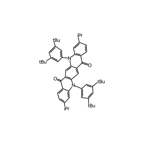 CC(C)c1ccc2c(=O)c3cc4c(cc3n(-c3cc(C(C)(C)C)cc(C(C)(C)C)c3)c2c1)c(=O)c1ccc(C(C)C)cc1n4-c1cc(C(C)(C)C)cc(C(C)(C)C)c1